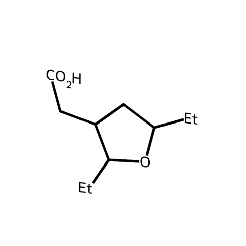 CCC1CC(CC(=O)O)C(CC)O1